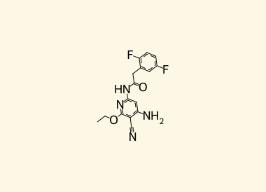 CCOc1nc(NC(=O)Cc2cc(F)ccc2F)cc(N)c1C#N